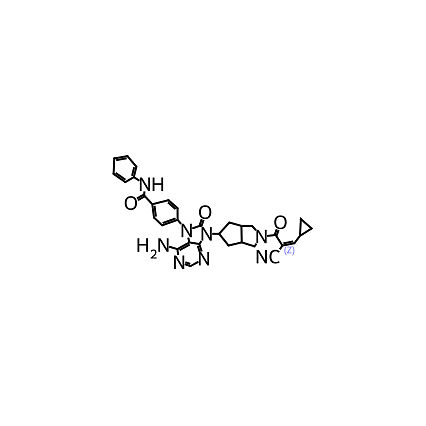 N#C/C(=C/C1CC1)C(=O)N1CC2CC(n3c(=O)n(-c4ccc(C(=O)Nc5ccccc5)cc4)c4c(N)ncnc43)CC2C1